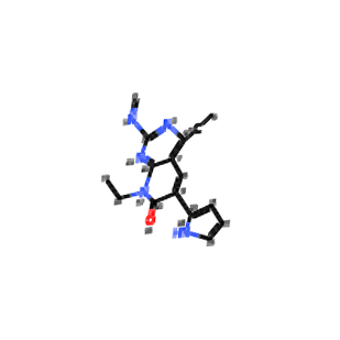 C=Nc1nc(CC)c2cc(-c3ccc[nH]3)c(=O)n(CC)c2n1